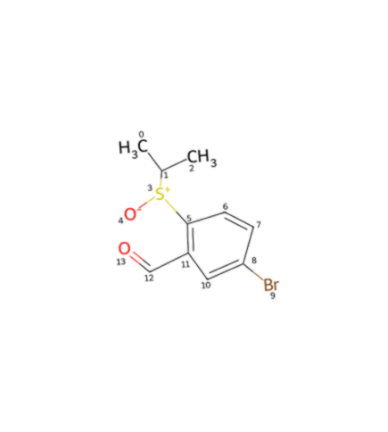 CC(C)[S+]([O-])c1ccc(Br)cc1C=O